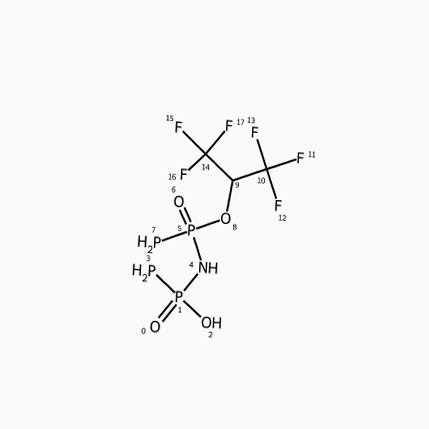 O=P(O)(P)NP(=O)(P)OC(C(F)(F)F)C(F)(F)F